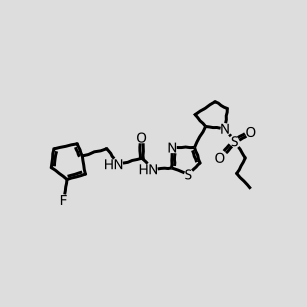 CCCS(=O)(=O)N1CCCC1c1csc(NC(=O)NCc2cccc(F)c2)n1